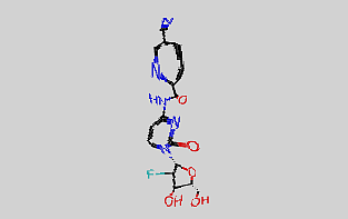 N#Cc1ccc(C(=O)Nc2ccn([C@@H]3O[C@H](CO)[C@@H](O)[C@H]3F)c(=O)n2)nc1